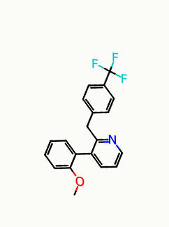 COc1ccccc1-c1cccnc1Cc1ccc(C(F)(F)F)cc1